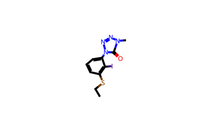 CCSc1cccc(-n2nnn(C)c2=O)c1I